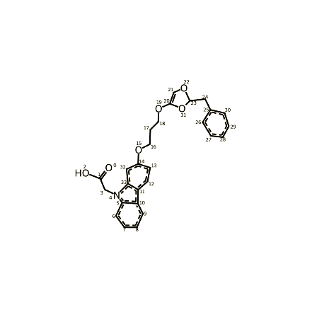 O=C(O)Cn1c2ccccc2c2ccc(OCCCOC3=COC(Cc4ccccc4)O3)cc21